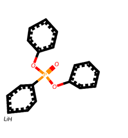 O=P(Oc1ccccc1)(Oc1ccccc1)c1[c]cccc1.[LiH]